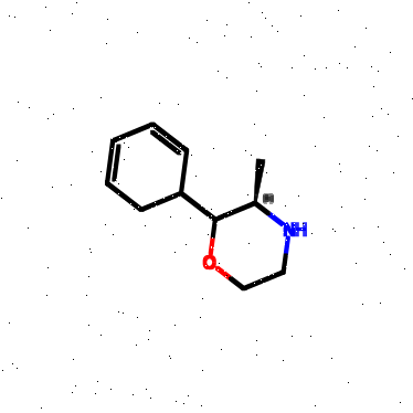 C[C@H]1NCCOC1C1C=CC=CC1